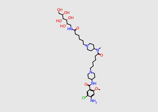 COc1cc(N)c(Cl)cc1C(=O)NC1CCN(CCCCCC(=O)N(C)C2CCN(CCCCCC(=O)NC[C@H](O)[C@@H](O)[C@H](O)[C@H](O)CO)CC2)CC1